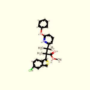 CC(C)(c1cccc(Oc2ccccc2)n1)C(C)(C(=O)OC#N)c1scc2cc(Cl)ccc12